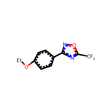 CCOc1ccc(-c2noc(C(F)(F)F)n2)cc1